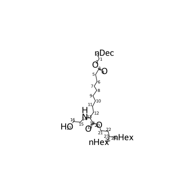 CCCCCCCCCCCOC(=O)CCCCCCCCC(NCCO)C(=O)OCCC(CCCCCC)CCCCCC